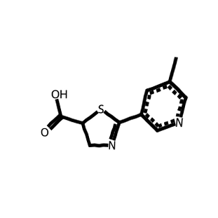 Cc1cncc(C2=NCC(C(=O)O)S2)c1